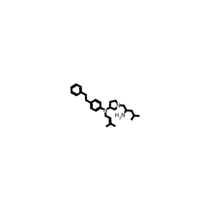 CC(C)=CCN(c1ccc(CCc2ccccc2)cc1)C1CCN(CC(N)CC(C)C)C1